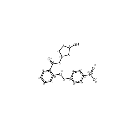 O=C(CN1CCC(S)C1)c1ccccc1OCc1ccc([N+](=O)[O-])cc1